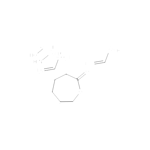 C=CC(=O)O.C=CC(=O)O.NC(=O)O.O=C(O)O.O=C1CCCCCO1